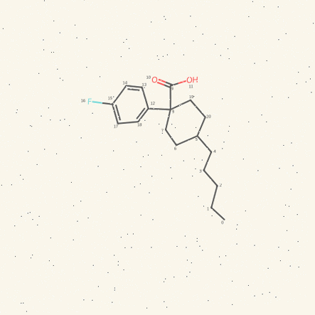 CCCCCC1CCC(C(=O)O)(c2ccc(F)cc2)CC1